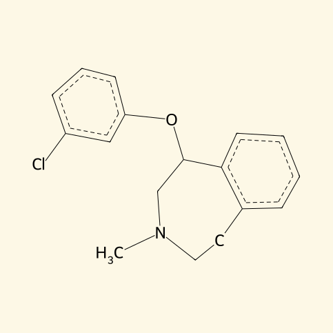 CN1CCc2ccccc2C(Oc2cccc(Cl)c2)C1